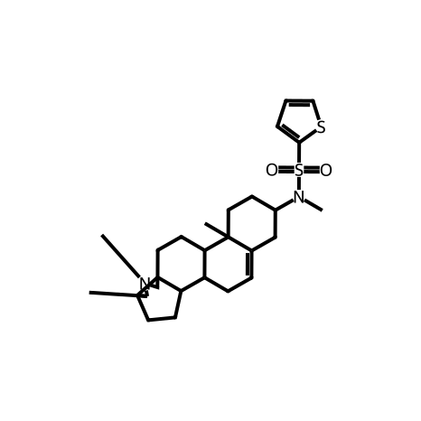 CC1C2CCC3C4CC=C5CC(N(C)S(=O)(=O)c6cccs6)CCC5(C)C4CCC32CN1C